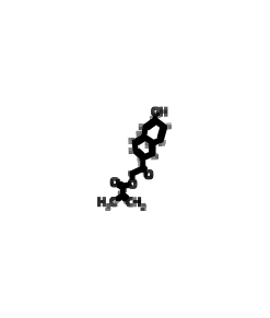 C=C(C)C(=O)OCC(=O)c1ccc2cc(O)ccc2c1